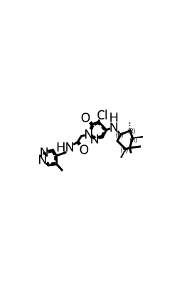 Cc1cnncc1CNC(=O)Cn1ncc(N[C@@H]2C[C@H](C)C(C)(C)[C@H](C)[C@H]2C)c(Cl)c1=O